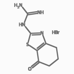 Br.N=C(N)Nc1nc2c(s1)C(=O)CCC2